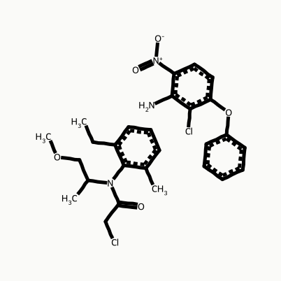 CCc1cccc(C)c1N(C(=O)CCl)C(C)COC.Nc1c([N+](=O)[O-])ccc(Oc2ccccc2)c1Cl